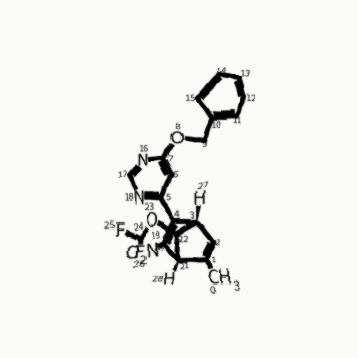 CC1=C[C@H]2C(c3cc(OCc4ccccc4)ncn3)=C([N+](=O)[O-])[C@@H]1C2OC(F)F